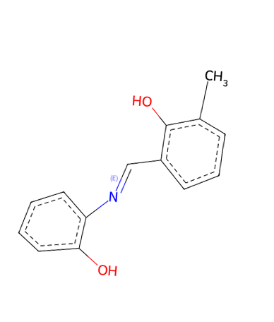 Cc1cccc(/C=N/c2ccccc2O)c1O